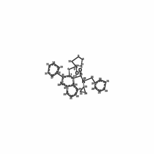 O=C(c1c(C[N+]2([O-])CCCC2)c(-c2ccccc2)nc2ccccc12)N(Cc1ccccc1)C1CC1